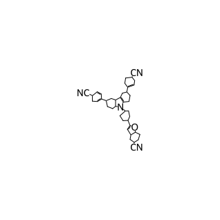 N#CC1C=CC(C2CCC3C(C2)C2=C(CCC(C4=CCC(C#N)CC4)C2)N3C2CCC(C3=CC4CC(C#N)CCC4O3)CC2)=CC1